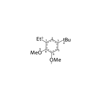 CCc1cc(C(C)(C)C)cc(OC)c1OC